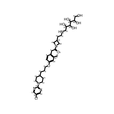 O=C(Cc1ccc(OCCCC2CCN(c3ncc(Cl)cn3)CC2)cc1F)N1CC(CCNCC(O)C(O)C(O)C(O)CO)C1